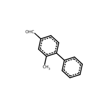 Cc1cc(C=O)ccc1-c1ccccc1